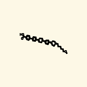 COCCCCCCN1CCN(c2ccc(N3CCN(c4ccc(-c5ccc(C(=O)O)cc5)cc4)CC3)cc2)CC1